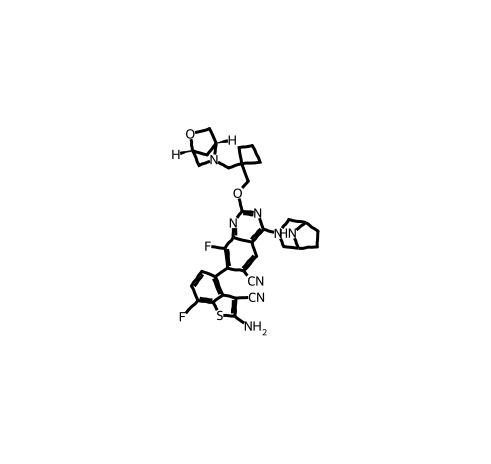 N#Cc1cc2c(N3CC4CCC(C3)N4)nc(OCC3(CN4C[C@H]5C[C@@H]4CO5)CCC3)nc2c(F)c1-c1ccc(F)c2sc(N)c(C#N)c12